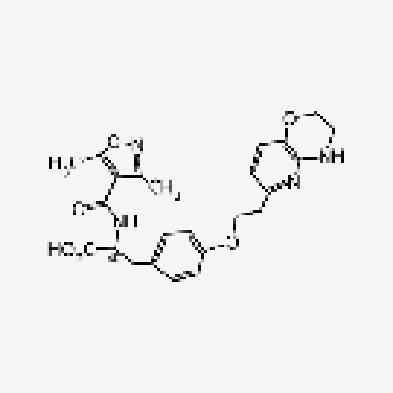 Cc1noc(C)c1C(=O)N[C@@H](Cc1ccc(OCCc2ccc3c(n2)NCCO3)cc1)C(=O)O